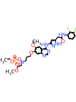 CCOP(=O)(O)ON(CCCOc1cc2ncnc(Nc3cc(CC(=O)Nc4cccc(F)c4F)[nH]n3)c2cc1OC)CCOC